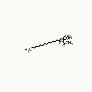 CCCCCCCCCCCCCCC(F)CC(CO)(CO)NC(C)=O